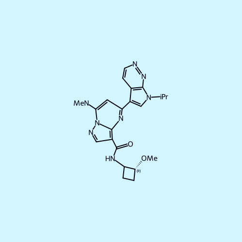 CNc1cc(-c2cn(C(C)C)c3nnccc23)nc2c(C(=O)NC3CC[C@H]3OC)cnn12